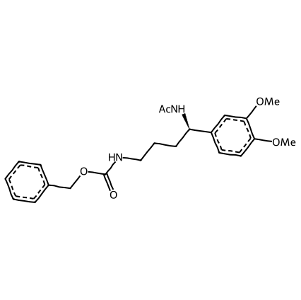 COc1ccc([C@@H](CCCNC(=O)OCc2ccccc2)NC(C)=O)cc1OC